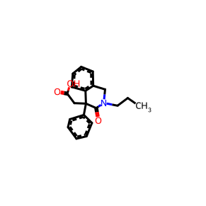 CCCN1Cc2ccccc2C(CC(=O)O)(c2ccccc2)C1=O